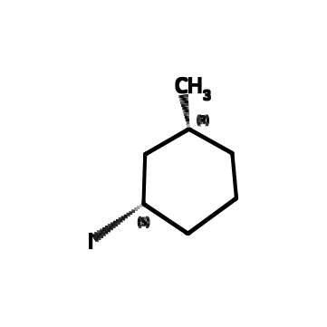 C[C@@H]1CCC[C@H](I)C1